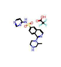 CC1CNCCN1c1nccc2cc(S(=O)(=O)Nc3ccncn3)ccc12.O=C(O)C(F)(F)F